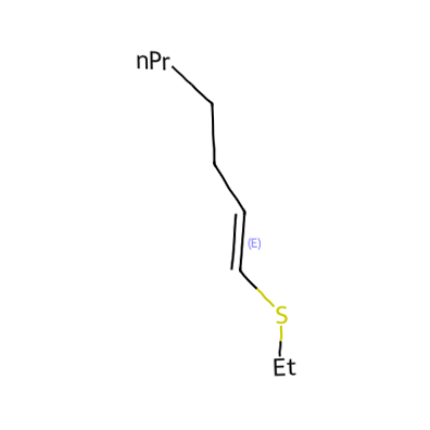 CCCCC/C=C/SCC